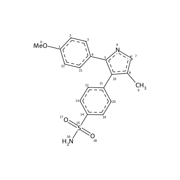 COc1ccc(-c2nsc(C)c2-c2ccc(S(N)(=O)=O)cc2)cc1